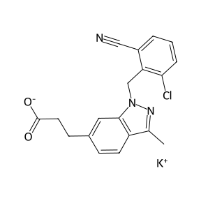 Cc1nn(Cc2c(Cl)cccc2C#N)c2cc(CCC(=O)[O-])ccc12.[K+]